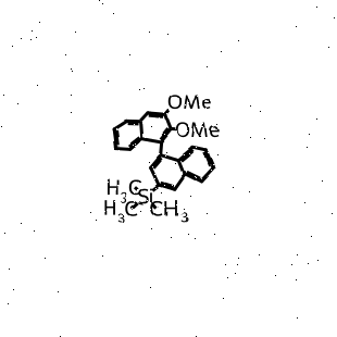 COc1cc2ccccc2c(-c2cc([Si](C)(C)C)cc3ccccc23)c1OC